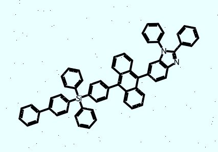 c1ccc(-c2ccc([Si](c3ccccc3)(c3ccccc3)c3ccc(-c4c5ccccc5c(-c5ccc6nc(-c7ccccc7)n(-c7ccccc7)c6c5)c5ccccc45)cc3)cc2)cc1